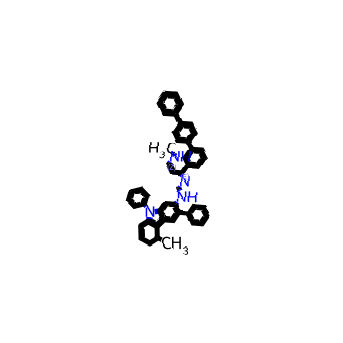 CN/C=C\C(=N/CNc1cc2c(cc1-c1ccccc1)c1c(n2-c2ccccc2)C=CCC1C)c1cccc(-c2ccc(-c3ccccc3)cc2)c1